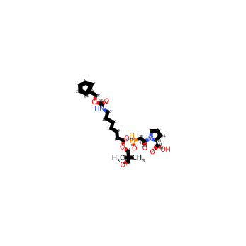 CC(C)(C=O)COC(CCCCCCNC(=O)OCc1ccccc1)O[PH](=O)CC(=O)N1CCC[C@H]1C(=O)O